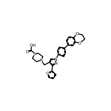 O=C(O)N1CCN(Cc2cn(-c3ccc(-c4ccc5c(c4)OCCO5)cc3)nc2-c2ccco2)CC1